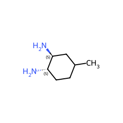 CC1CC[C@H](N)[C@@H](N)C1